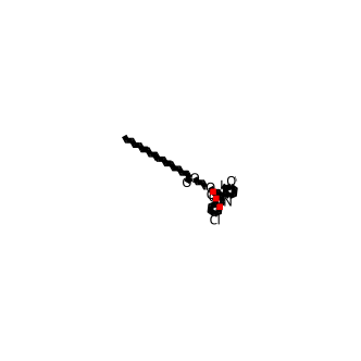 CCCCCC=CCC=CCC=CCCCCC(=O)OCCCOC(=O)CC1(C(=O)c2ccc(Cl)cc2)C(C)=Nc2ccc(OC)c(I)c21